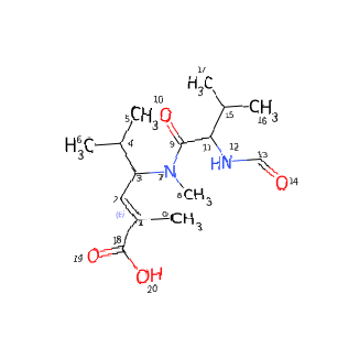 C/C(=C\C(C(C)C)N(C)C(=O)C(NC=O)C(C)C)C(=O)O